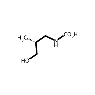 C[C@@H](CO)CNC(=O)O